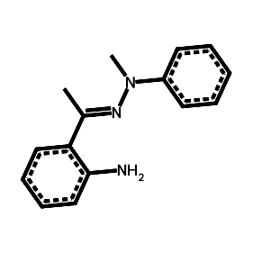 C/C(=N\N(C)c1ccccc1)c1ccccc1N